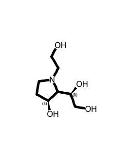 OCCN1CC[C@H](O)C1[C@@H](O)CO